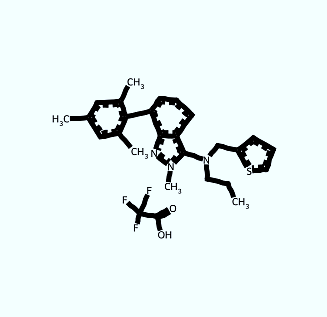 CCCN(Cc1cccs1)c1c2cccc(-c3c(C)cc(C)cc3C)c2nn1C.O=C(O)C(F)(F)F